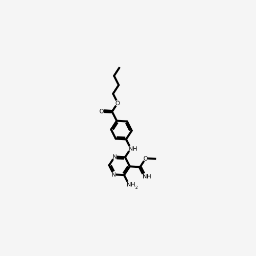 CCCCOC(=O)c1ccc(Nc2ncnc(N)c2C(=N)OC)cc1